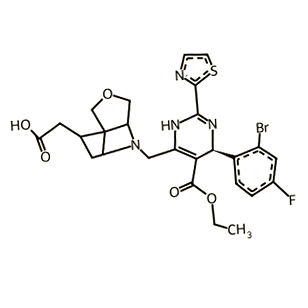 CCOC(=O)C1=C(CN2C3COCC34C(CC(=O)O)CC24)NC(c2nccs2)=N[C@H]1c1ccc(F)cc1Br